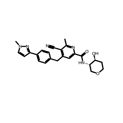 Cc1nc(C(=O)N[C@H]2COCC[C@@H]2O)cc(Cc2ccc(-c3ccn(C)n3)cc2)c1C#N